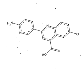 Nc1ccc(-c2cc(C(=O)O)c3cc(Cl)ccc3n2)cn1